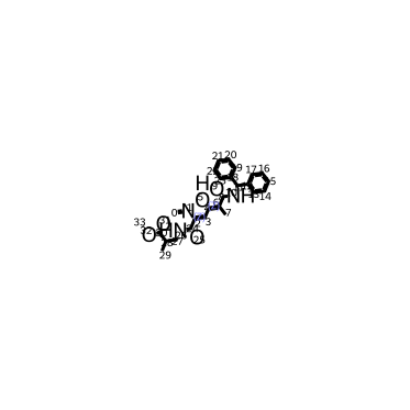 C=N/C(=C\C(O)=C(/C)C(=O)NC(c1ccccc1)c1ccccc1)C(=O)NCC(C)C(=O)OC